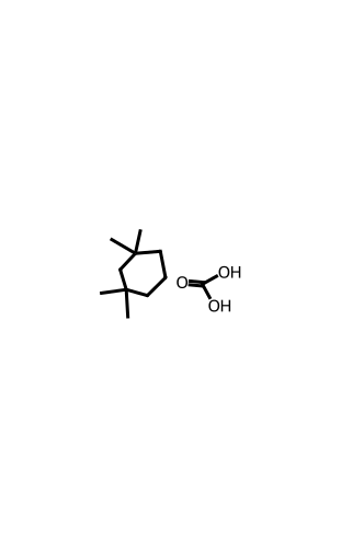 CC1(C)CCCC(C)(C)C1.O=C(O)O